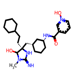 CN1C(=N)N[C@](CCC2CCCCC2)(C[C@H]2CCC[C@@H](NC(=O)c3ccc[n+](O)c3)C2)C1O